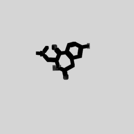 CN(C)C=C1NC(=O)Cc2cc(I)ccc2C1=O